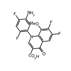 COc1c(F)c(F)cc2c(=O)c(C(=O)O)cn(-c3cc(N)c(F)cc3F)c12